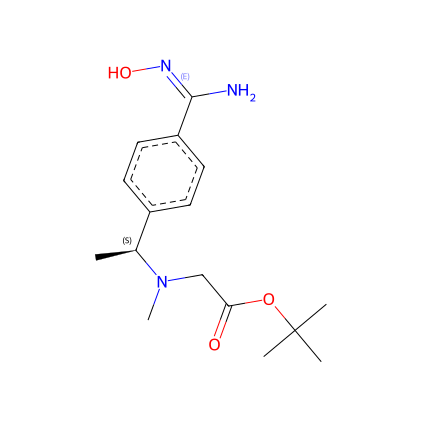 C[C@@H](c1ccc(/C(N)=N\O)cc1)N(C)CC(=O)OC(C)(C)C